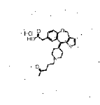 CC(=O)CCCN1CCC(=C2c3cc(CC(=O)O)ccc3OCc3ccsc32)CC1.Cl